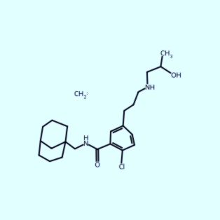 CC(O)CNCCCc1ccc(Cl)c(C(=O)NCC23CCCC(CCC2)C3)c1.[CH2]